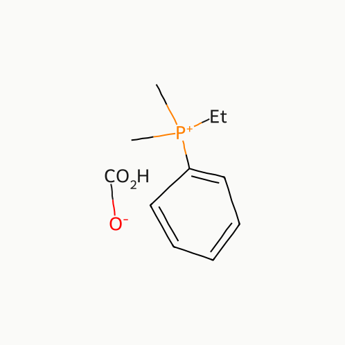 CC[P+](C)(C)c1ccccc1.O=C([O-])O